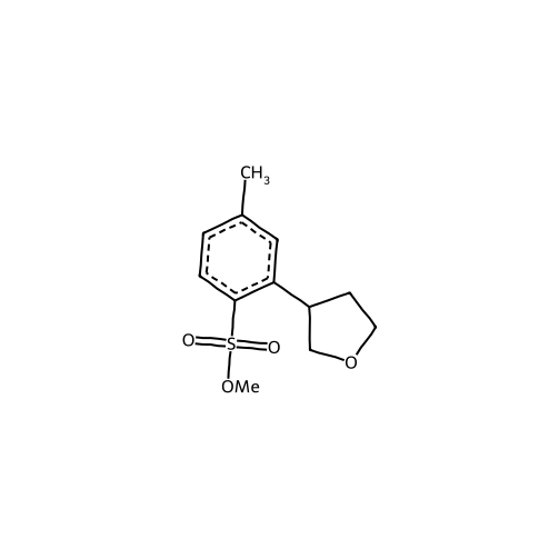 COS(=O)(=O)c1ccc(C)cc1C1CCOC1